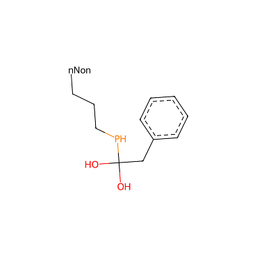 CCCCCCCCCCCCPC(O)(O)Cc1ccccc1